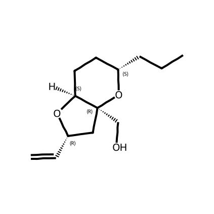 C=C[C@H]1C[C@]2(CO)O[C@@H](CCC)CC[C@@H]2O1